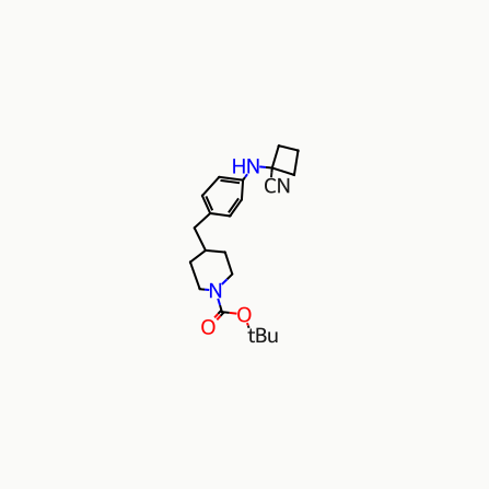 CC(C)(C)OC(=O)N1CCC(Cc2ccc(NC3(C#N)CCC3)cc2)CC1